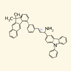 CC1(C)c2cc3ccccc3cc2-c2c(-c3cccc(/C=C/C(N)c4ccc5c(c4)c4ccccc4n5-c4ccccc4)c3)cccc21